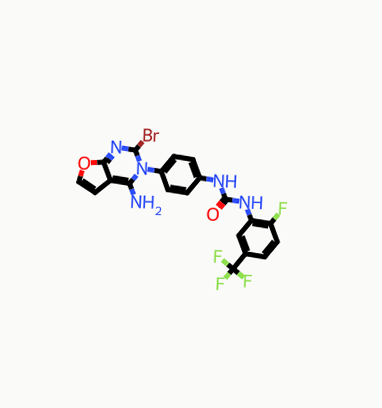 NC1=c2ccoc2=NC(Br)N1c1ccc(NC(=O)Nc2cc(C(F)(F)F)ccc2F)cc1